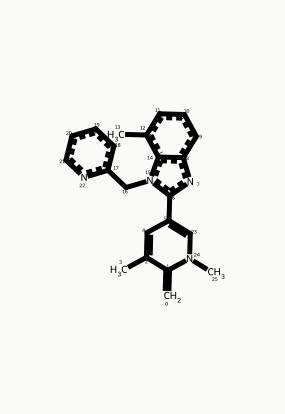 C=C1C(C)=CC(c2nc3cccc(C)c3n2Cc2ccccn2)=CN1C